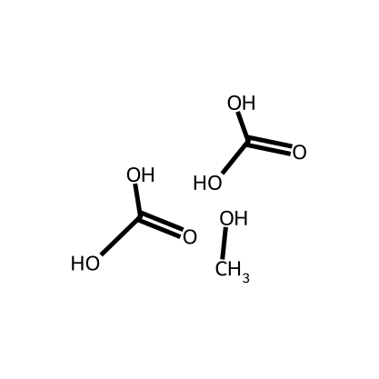 CO.O=C(O)O.O=C(O)O